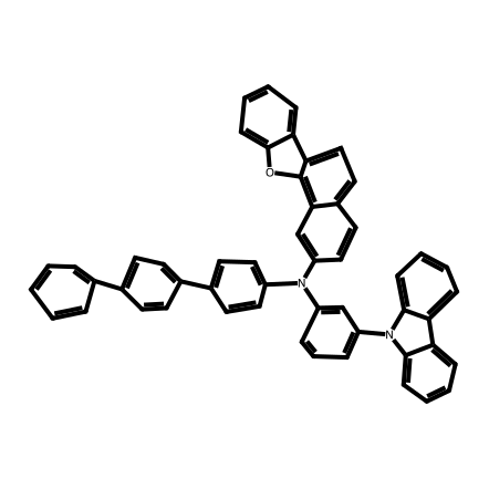 c1ccc(-c2ccc(-c3ccc(N(c4cccc(-n5c6ccccc6c6ccccc65)c4)c4ccc5ccc6c7ccccc7oc6c5c4)cc3)cc2)cc1